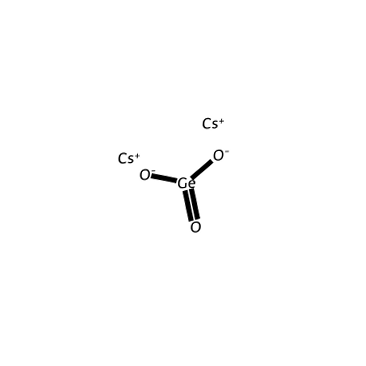 [Cs+].[Cs+].[O]=[Ge]([O-])[O-]